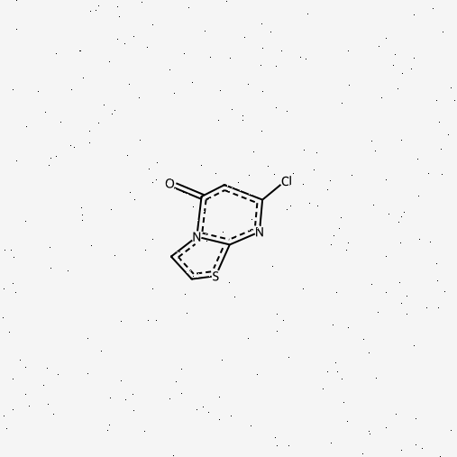 O=c1cc(Cl)nc2sccn12